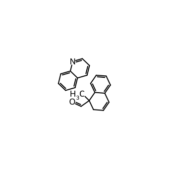 CC1(C=O)CC=Cc2ccccc21.c1ccc2ncccc2c1